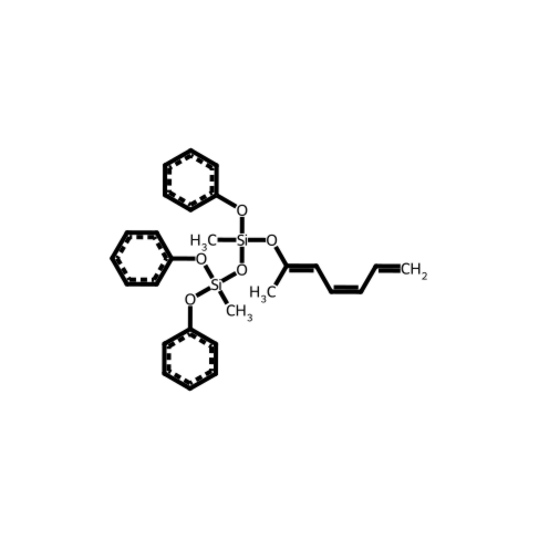 C=C/C=C\C=C(/C)O[Si](C)(Oc1ccccc1)O[Si](C)(Oc1ccccc1)Oc1ccccc1